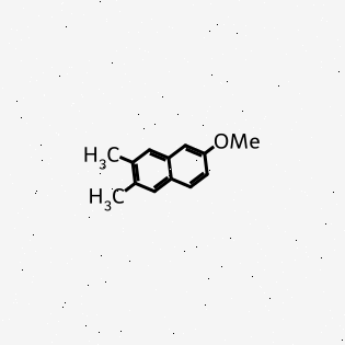 COc1ccc2cc(C)c(C)cc2c1